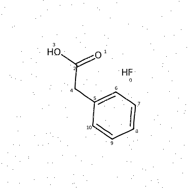 F.O=C(O)Cc1ccccc1